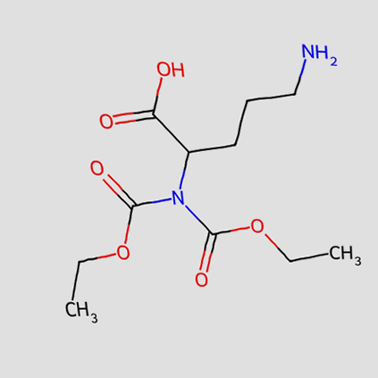 CCOC(=O)N(C(=O)OCC)C(CCCN)C(=O)O